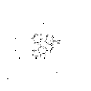 CC1OCCC1=Cc1ccc([N+](=O)[O-])c(C(=O)c2ccccc2)c1